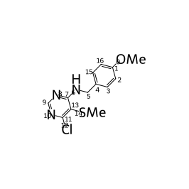 COc1ccc(CNc2ncnc(Cl)c2SC)cc1